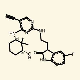 C#Cc1cnc(NCCC2C(=O)Nc3ccc(F)cc32)nc1N[C@H]1CCC[C@@H](O)C1(C)C